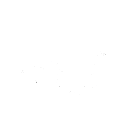 CCOC(=O)CCC/C=C\C/C=C\C/C=C\C/C=C\C=C\C(O)CC